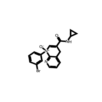 O=C(NC1CC1)C1=C[N+]([O-])(c2cccc(Br)c2)c2ncccc2C1